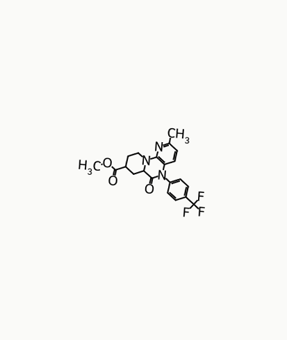 COC(=O)C1CCN2c3nc(C)ccc3N(c3ccc(C(F)(F)F)cc3)C(=O)C2C1